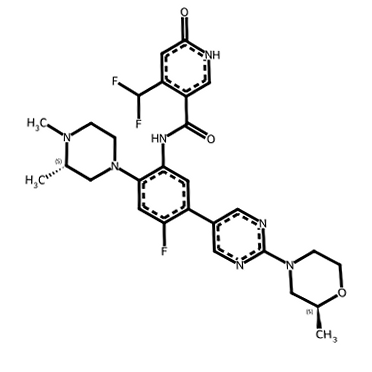 C[C@H]1CN(c2ncc(-c3cc(NC(=O)c4c[nH]c(=O)cc4C(F)F)c(N4CCN(C)[C@@H](C)C4)cc3F)cn2)CCO1